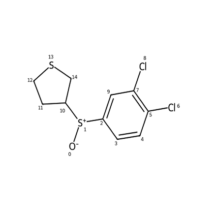 [O-][S+](c1ccc(Cl)c(Cl)c1)C1CCSC1